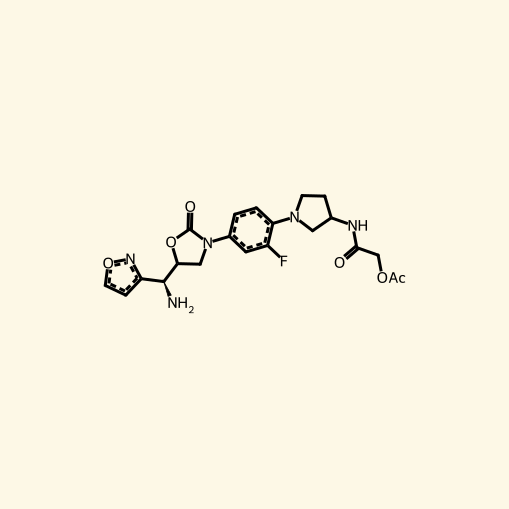 CC(=O)OCC(=O)NC1CCN(c2ccc(N3CC([C@@H](N)c4ccon4)OC3=O)cc2F)C1